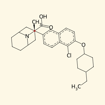 CCC1CCC(Oc2ccc3cc([C@H](C)N4C5CCCC4CC(C(=O)O)C5)ccc3c2Cl)CC1